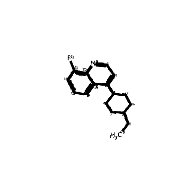 CCC1CCC(c2ccnc3c(F)cccc23)CC1